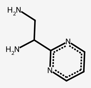 NCC(N)c1ncccn1